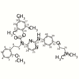 COc1ccccc1CCN(C(=O)Oc1c(C)cc(C)cc1C)c1ccnc(Nc2ccc(OCCN(C)C)cc2)n1